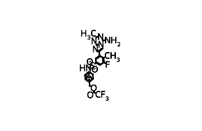 Cc1nc(N)n2cc(-c3cc(S(=O)(=O)NC45CCC(COC(=O)C(F)(F)F)(CC4)OC5)cc(F)c3C)nc2n1